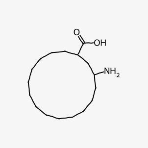 NC1CCCCCCCCCCCCCC(C(=O)O)C1